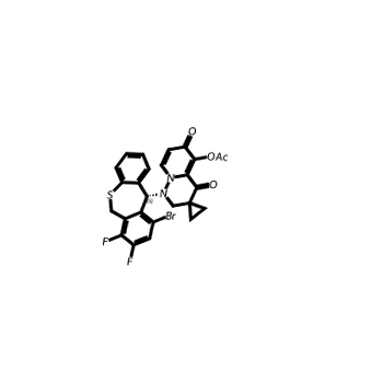 CC(=O)Oc1c2n(ccc1=O)N([C@H]1c3ccccc3SCc3c(F)c(F)cc(Br)c31)CC1(CC1)C2=O